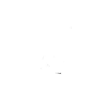 CC(C)(C)c1ccc(S(=O)(=O)N2[C@@H](C(=O)O)CC3CCC[C@H]32)cc1